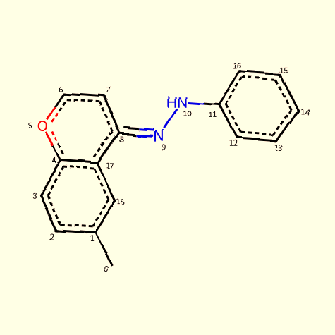 Cc1ccc2occc(=NNc3ccccc3)c2c1